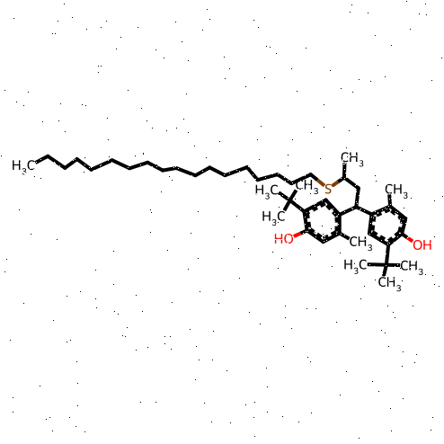 CCCCCCCCCCCCCCCCCCSC(C)CC(c1cc(C(C)(C)C)c(O)cc1C)c1cc(C(C)(C)C)c(O)cc1C